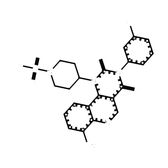 COc1cccc2c1ncc1c(=O)n(-c3cccc(Cl)c3)c(=O)n(C3CCN(S(=O)(=O)C(C)C)CC3)c12